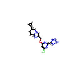 Clc1cc(OCc2cn3cc(C4CC4)ccc3n2)nc(-c2nn[nH]n2)n1